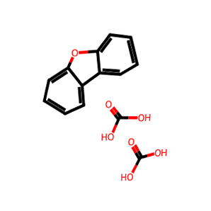 O=C(O)O.O=C(O)O.c1ccc2c(c1)oc1ccccc12